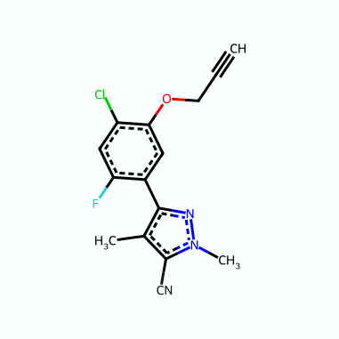 C#CCOc1cc(-c2nn(C)c(C#N)c2C)c(F)cc1Cl